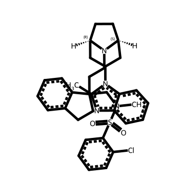 Cc1nc2ccccc2n1C1C[C@H]2CC[C@@H](C1)N2CCC1(CN(C)S(=O)(=O)c2ccccc2Cl)CCc2ccccc21